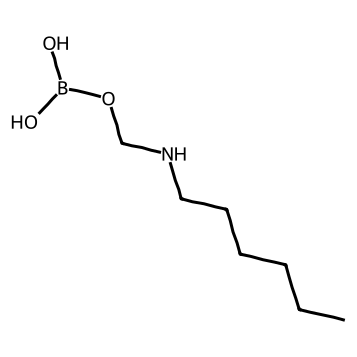 CCCCCCNCOB(O)O